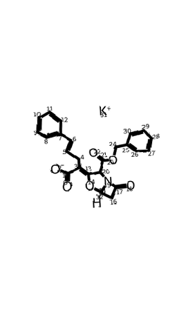 O=C([O-])C(CC=Cc1ccccc1)=C1O[C@@H]2CC(=O)N2C1C(=O)OCc1ccccc1.[K+]